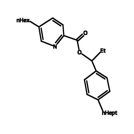 CCCCCCCc1ccc(C(CC)OC(=O)c2ccc(CCCCCC)cn2)cc1